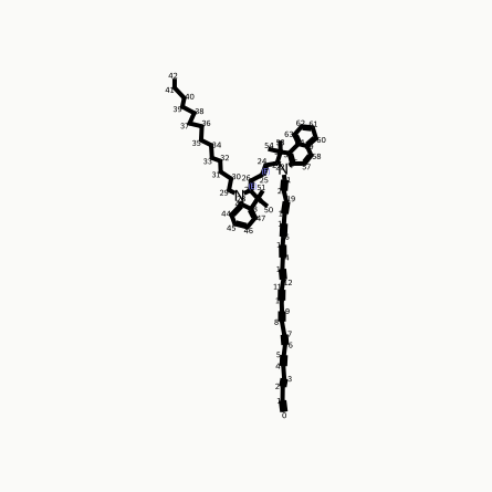 C#CC#CC#CC#CC#CC#CC#CC#CC#CC#CC#C[N+]1=C(/C=C/C=C2/N(CCCCCCCCCCCCCC)c3ccccc3C2(C)C)C(C)(C)c2c1ccc1ccccc21